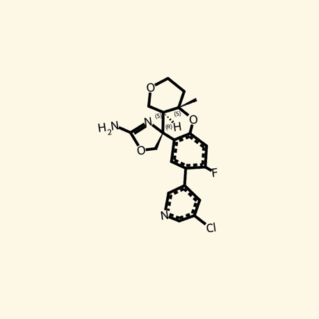 C[C@]12CCOC[C@@H]1[C@]1(COC(N)=N1)c1cc(-c3cncc(Cl)c3)c(F)cc1O2